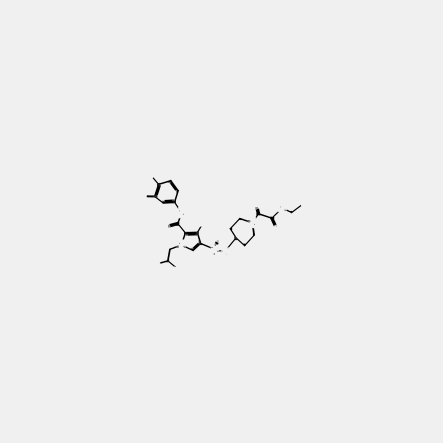 CCNC(=O)C(=O)N1CCC(NS(=O)(=O)c2cn(CC(F)F)c(C(=O)Nc3ccc(F)c(F)c3)c2F)CC1